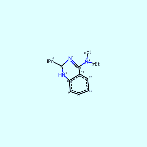 CCN(CC)C1=NC(C(C)C)Nc2ccccc21